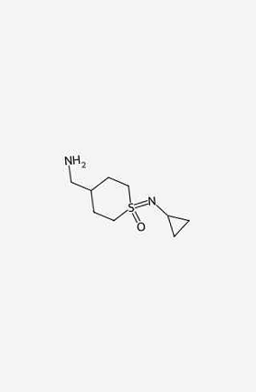 NCC1CCS(=O)(=NC2CC2)CC1